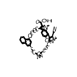 Cn1nc2cc1CSc1cc(c3ccccc3c1)OCCCc1c(C(=O)O)n(C)c3c(c(Cl)ccc13)-c1c(nn(C)c1C#N)CSC2